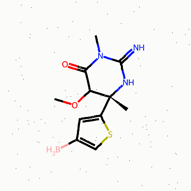 Bc1csc([C@@]2(C)NC(=N)N(C)C(=O)C2OC)c1